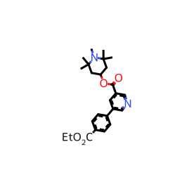 CCOC(=O)c1ccc(-c2cncc(C(=O)OC3CC(C)(C)N(C)C(C)(C)C3)c2)cc1